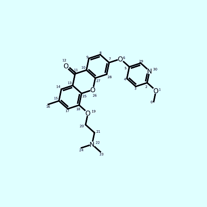 COc1ccc(Oc2ccc3c(=O)c4cc(C)cc(OCCN(C)C)c4oc3c2)cn1